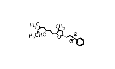 C=C=C(C)C[C@H](O)CC[C@@H]1O[C@@H](CCS(=O)(=O)c2ccccc2)CC1=C